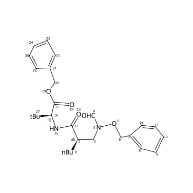 CCCC[C@H](CN(C=O)OCc1ccccc1)C(=O)N[C@H](C(=O)OCc1ccccc1)C(C)(C)C